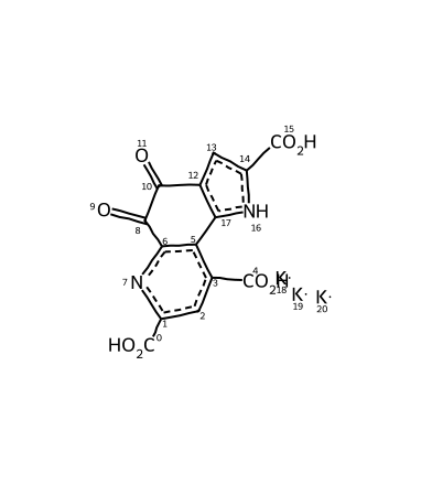 O=C(O)c1cc(C(=O)O)c2c(n1)C(=O)C(=O)c1cc(C(=O)O)[nH]c1-2.[K].[K].[K]